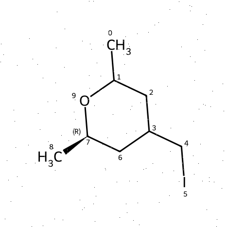 CC1CC(CI)C[C@@H](C)O1